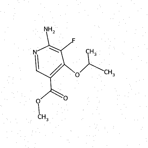 COC(=O)c1cnc(N)c(F)c1OC(C)C